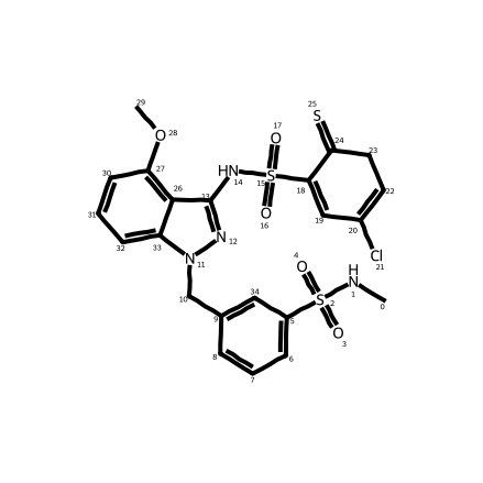 CNS(=O)(=O)c1cccc(Cn2nc(NS(=O)(=O)C3=CC(Cl)=CCC3=S)c3c(OC)cccc32)c1